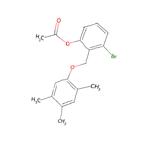 CC(=O)Oc1cccc(Br)c1COc1cc(C)c(C)cc1C